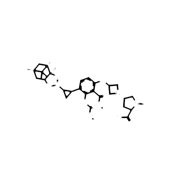 CC(C)(C)OC(=O)Oc1c(C2CC2B2OC3C[C@@H]4C[C@@H](C4(C)C)[C@]3(C)O2)ccc(OC2CN([C@@H]3CN(C(=O)O)[C@](C(N)=O)(C(C)(C)C)C3)C2)c1C(=O)OC(C)(C)C